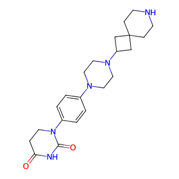 O=C1CCN(c2ccc(N3CCN(C4CC5(CCNCC5)C4)CC3)cc2)C(=O)N1